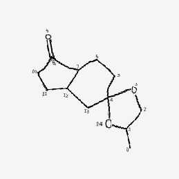 CC1COC2(CCC3C(=O)CCC3C2)O1